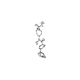 CC1(OC(=O)N2CCC(N(C(=O)c3ccc(-c4cnco4)cc3)C3CC3)CC2)CC1